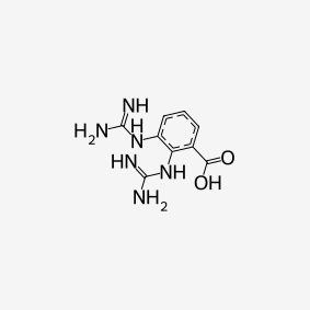 N=C(N)Nc1cccc(C(=O)O)c1NC(=N)N